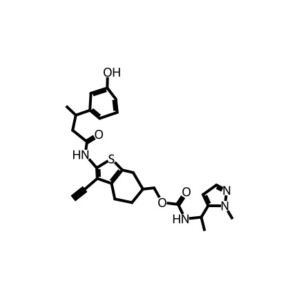 C#Cc1c(NC(=O)CC(C)c2cccc(O)c2)sc2c1CCC(COC(=O)NC(C)c1ccnn1C)C2